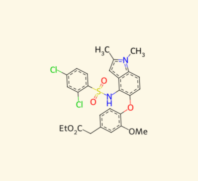 CCOC(=O)Cc1ccc(Oc2ccc3c(cc(C)n3C)c2NS(=O)(=O)c2ccc(Cl)cc2Cl)c(OC)c1